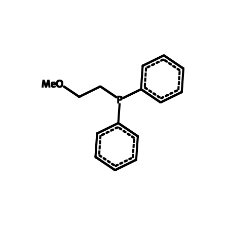 COCCP(c1ccccc1)c1ccccc1